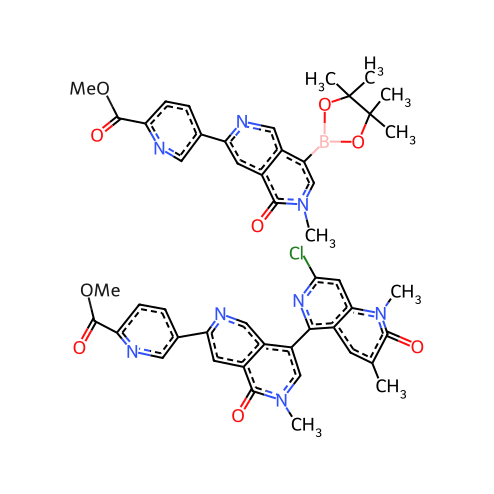 COC(=O)c1ccc(-c2cc3c(=O)n(C)cc(-c4nc(Cl)cc5c4cc(C)c(=O)n5C)c3cn2)cn1.COC(=O)c1ccc(-c2cc3c(=O)n(C)cc(B4OC(C)(C)C(C)(C)O4)c3cn2)cn1